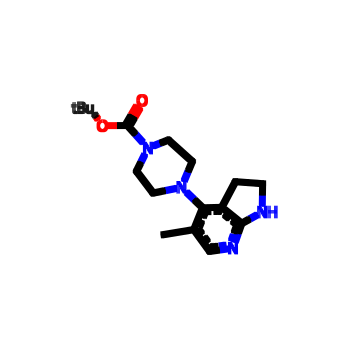 Cc1cnc2c(c1N1CCN(C(=O)OC(C)(C)C)CC1)CCN2